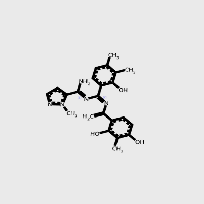 C=C(/N=C(\N=C(/N)c1ccnn1C)c1ccc(C)c(C)c1O)c1ccc(O)c(C)c1O